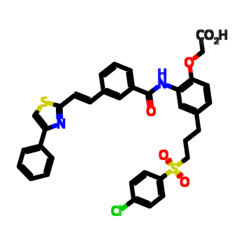 O=C(O)COc1ccc(CCCS(=O)(=O)c2ccc(Cl)cc2)cc1NC(=O)c1cccc(C=Cc2nc(-c3ccccc3)cs2)c1